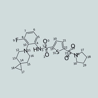 O=S(=O)(Nc1cccc(F)c1N1CCC2(CC1)CC2)c1ccc(S(=O)(=O)N2CCCC2)s1